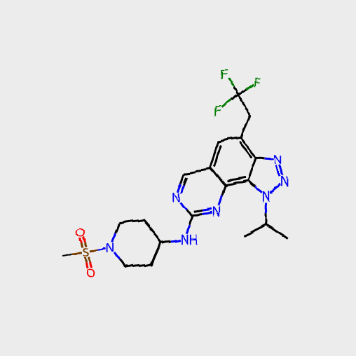 CC(C)n1nnc2c(CC(F)(F)F)cc3cnc(NC4CCN(S(C)(=O)=O)CC4)nc3c21